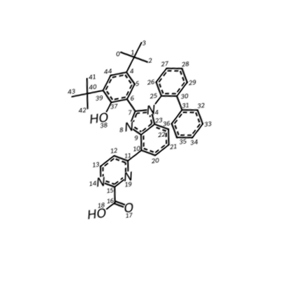 CC(C)(C)c1cc(-c2nc3c(-c4ccnc(C(=O)O)n4)cccc3n2-c2ccccc2-c2ccccc2)c(O)c(C(C)(C)C)c1